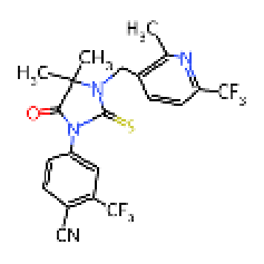 Cc1nc(C(F)(F)F)ccc1CN1C(=S)N(c2ccc(C#N)c(C(F)(F)F)c2)C(=O)C1(C)C